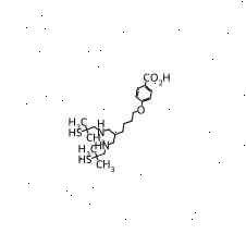 CC(C)(S)CNCC(CCCCOc1ccc(C(=O)O)cc1)CNCC(C)(C)S